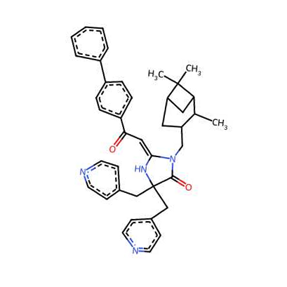 CC1C(CN2C(=O)C(Cc3ccncc3)(Cc3ccncc3)NC2=CC(=O)c2ccc(-c3ccccc3)cc2)CC2CC1C2(C)C